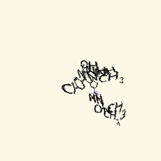 CC(=N)N1C(=N)[C@H](CO)N=C(c2ccc(Cl)cc2)c2cc(/C(C=N)=C/NCC(=O)N(C)C)ccc21